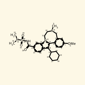 COc1ccc2c(c1)CN(C)CCn1c-2c(C2CCCCC2)c2ccc(C(=O)NS(=O)(=O)N(C)C)cc21